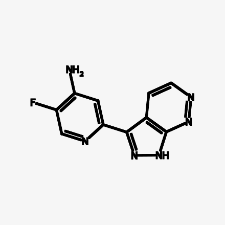 Nc1cc(-c2n[nH]c3nnccc23)ncc1F